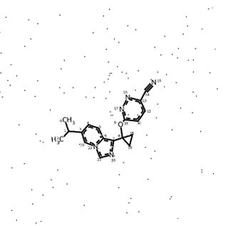 CC(C)c1ccc2c(C3(Oc4ccc(C#N)nn4)CC3)ncn2c1